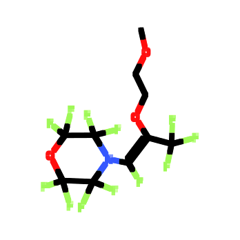 COCCO/C(=C(/F)N1C(F)(F)C(F)(F)OC(F)(F)C1(F)F)C(F)(F)F